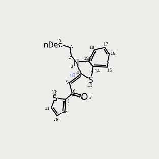 CCCCCCCCCCCCN1/C(=C/C(=O)c2cccs2)Sc2ccccc21